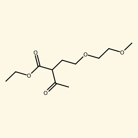 CCOC(=O)C(CCOCCOC)C(C)=O